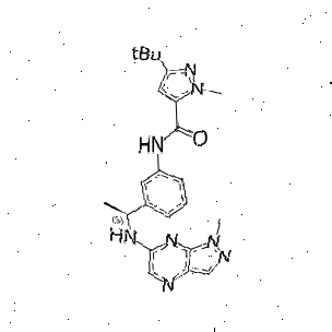 C[C@H](Nc1cnc2cnn(C)c2n1)c1cccc(NC(=O)c2cc(C(C)(C)C)nn2C)c1